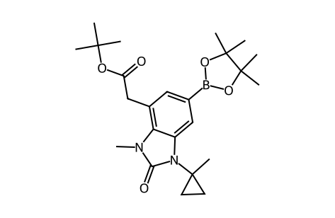 Cn1c(=O)n(C2(C)CC2)c2cc(B3OC(C)(C)C(C)(C)O3)cc(CC(=O)OC(C)(C)C)c21